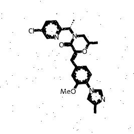 COc1cc(C=C2OC(C)CN([C@@H](C)c3ccc(Cl)cn3)C2=O)ccc1-n1cnc(C)c1